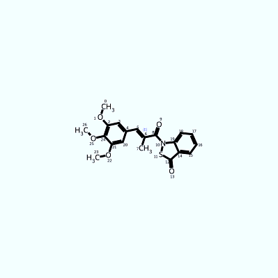 COc1cc(/C=C(\C)C(=O)n2sc(=O)c3ccccc32)cc(OC)c1OC